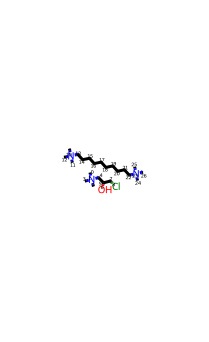 C[N+](C)(C)CC(O)CCl.C[N+](C)(C)CCCCCCCCCC[N+](C)(C)C